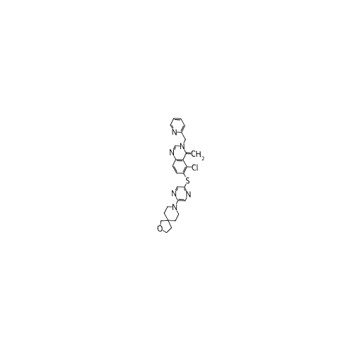 C=C1c2c(ccc(Sc3cnc(N4CCC5(CCOC5)CC4)cn3)c2Cl)N=CN1Cc1ccccn1